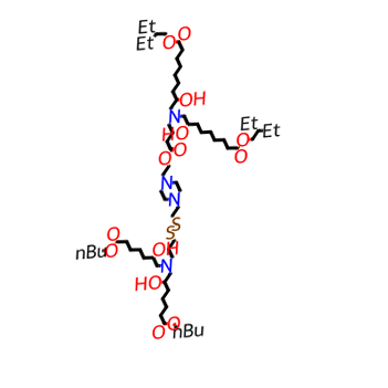 CCCCOC(=O)CCCCC(O)CN(CCCSSCCN1CCN(CCOC(=O)CCCN(CC(O)CCCCCCC(=O)OCC(CC)CC)CC(O)CCCCCCC(=O)OCC(CC)CC)CC1)CC(O)CCCCC(=O)OCCCC